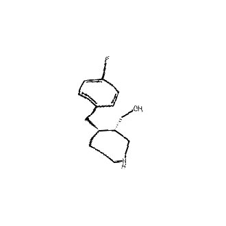 OC[C@@H]1CNCC[C@H]1Cc1ccc(F)cc1